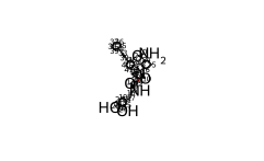 NC(=O)c1cccc(N2C(=O)[C@@H](CC(=O)NCCc3ccc(O)c(O)c3)S[C@H]2c2ccc(C#Cc3ccccc3)cc2)c1